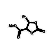 COC(=O)C1OC(=O)OC1C(C)C